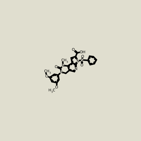 COc1cc(OC)cc(N2Cc3cnc4c(cc(C(=O)O)n4S(=O)(=O)c4ccccc4)c3N(C)C2=O)c1